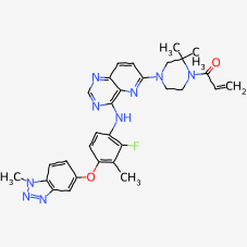 C=CC(=O)N1CCN(c2ccc3ncnc(Nc4ccc(Oc5ccc6c(c5)nnn6C)c(C)c4F)c3n2)CC1(C)C